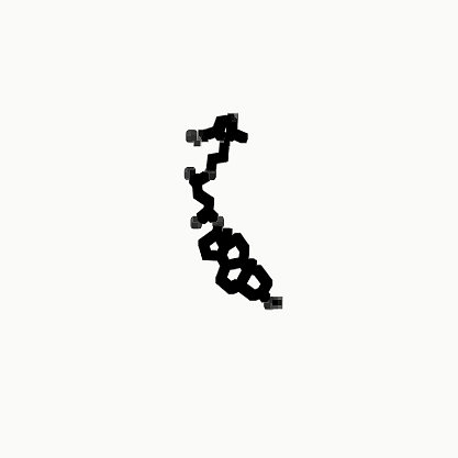 Cc1ncc([N+](=O)[O-])n1CCOC(=O)CCC(=O)OC1CCC2C3CC=C4CC(O)CCC4(C)C3CCC12C